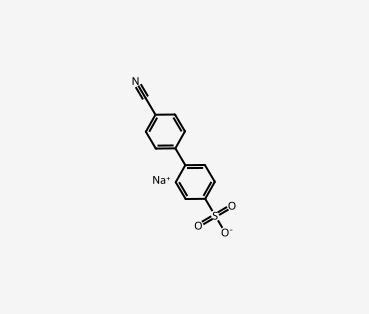 N#Cc1ccc(-c2ccc(S(=O)(=O)[O-])cc2)cc1.[Na+]